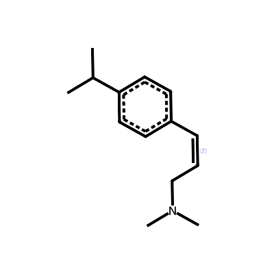 CC(C)c1ccc(/C=C\CN(C)C)cc1